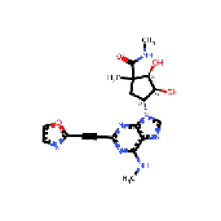 CNC(=O)C1(C)C[C@@H](n2cnc3c(NC)nc(C#Cc4ncco4)nc32)[C@H](O)[C@@H]1O